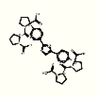 NC(=O)[C@@]1(c2ccc(-c3cnc(-c4ccc([C@]5(C(N)=O)CCCN5C(=O)[C@H]5CCCN5C(=O)O)cc4)o3)cc2)CCCN1C(=O)[C@H]1CCCN1C(=O)O